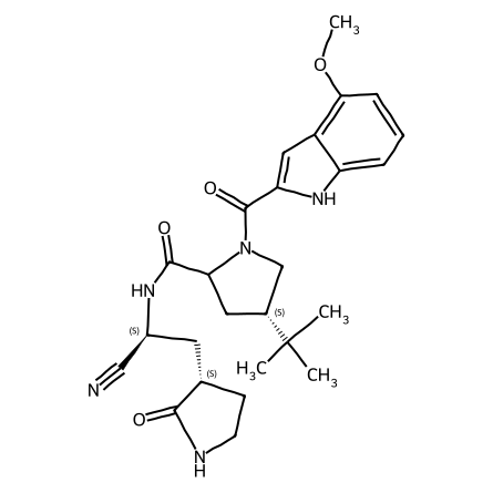 COc1cccc2[nH]c(C(=O)N3C[C@H](C(C)(C)C)CC3C(=O)N[C@H](C#N)C[C@@H]3CCNC3=O)cc12